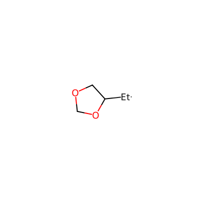 C[CH]C1COCO1